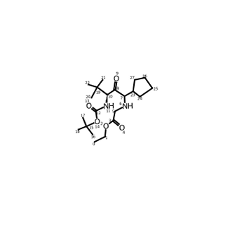 CCOC(=O)CNC(C(=O)[C@@H](NC(=O)OC(C)(C)C)C(C)(C)C)C1CCCC1